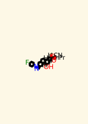 CCC[C@@H]1O[C@@H]2C[C@H]3[C@@H]4CCC5=Cc6c(cnn6-c6ccc(F)cc6)C[C@]5(C)[C@H]4[C@@H](O)C[C@]3(C)[C@]2(C(=S)CC#N)O1